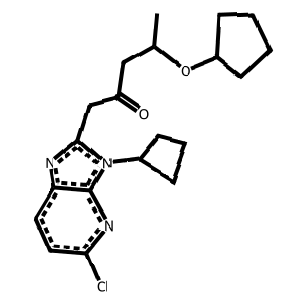 CC(CC(=O)Cc1nc2ccc(Cl)nc2n1C1CCC1)OC1CCCC1